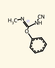 C/N=C(/NC#N)Oc1ccccc1